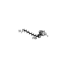 CCCCCCCCCCCCC(S)c1coc([Si](CC)(CC)CC)c1